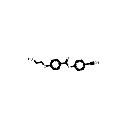 C#Cc1ccc(OC(=O)c2ccc(OCCC)cc2)cc1